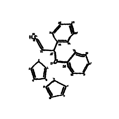 C1=CCC=C1.C1=CCC=C1.C=CC(Oc1ccccc1)c1ccccc1